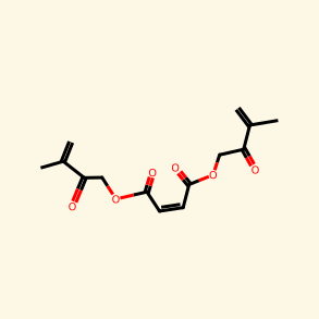 C=C(C)C(=O)COC(=O)/C=C\C(=O)OCC(=O)C(=C)C